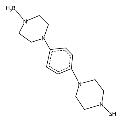 BN1CCN(c2ccc(N3CCN(S)CC3)cc2)CC1